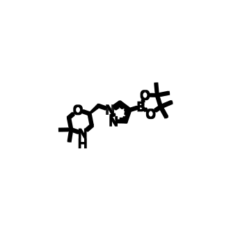 CC1(C)CO[C@@H](Cn2cc(B3OC(C)(C)C(C)(C)O3)cn2)CN1